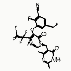 CCc1cc(C#N)c(F)c(Oc2c(C(F)(F)C(F)F)ncn(Cc3c(C)nc(C)[nH]c3=O)c2=O)c1